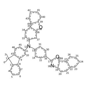 CC1(C)c2ccccc2-c2cc(N(c3ccc(-c4nc5ccc6ccccc6c5o4)cc3)c3ccc4c(c3)oc3ccccc34)ccc21